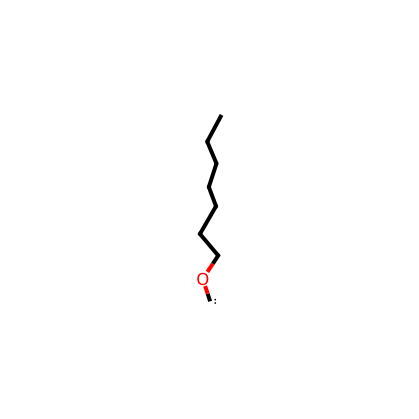 [CH]OCCCCCCC